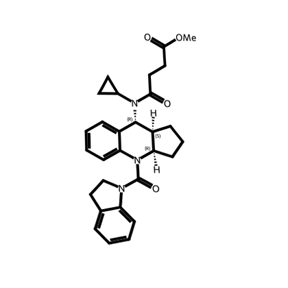 COC(=O)CCC(=O)N(C1CC1)[C@H]1c2ccccc2N(C(=O)N2CCc3ccccc32)[C@@H]2CCC[C@@H]21